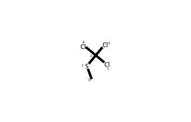 CSC(Cl)(Cl)Cl